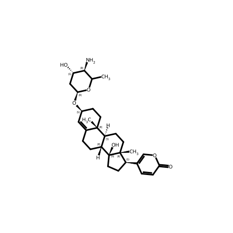 CC1O[C@@H](O[C@@H]2C=C3CC[C@@H]4[C@H](CC[C@]5(C)[C@@H](c6ccc(=O)oc6)CC[C@]45O)[C@@]3(C)CC2)C[C@H](O)[C@H]1N